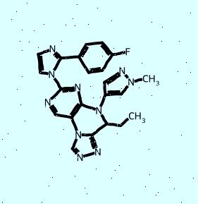 CCC1c2nncn2-c2cnc(-n3ccnc3-c3ccc(F)cc3)nc2N1c1cnn(C)c1